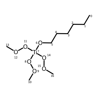 CCCCCC[O][Ti]([O]OC)([O]OC)[O]OC